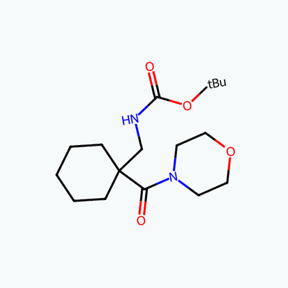 CC(C)(C)OC(=O)NCC1(C(=O)N2CCOCC2)CCCCC1